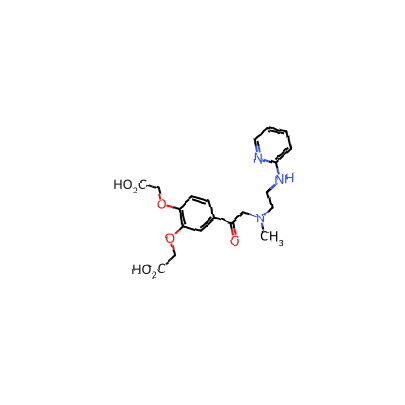 CN(CCNc1ccccn1)CC(=O)c1ccc(OCC(=O)O)c(OCC(=O)O)c1